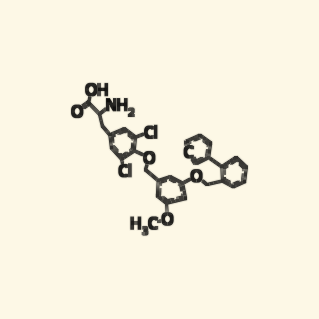 COc1cc(COc2c(Cl)cc(CC(N)C(=O)O)cc2Cl)cc(OCc2ccccc2-c2ccccc2)c1